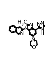 Cc1nc2c(-c3nnc[nH]3)cc(N3CCOCC3)cc2n1-c1cc2ccccc2cn1